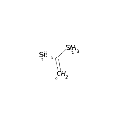 C=C[SiH3].[Si]